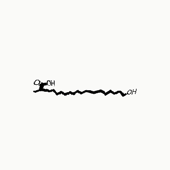 CC(=CCCCCCCCCCCCCCCCCO)C(=O)O